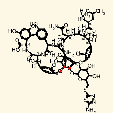 CN[C@@H](CC(C)C)C(=O)N[C@H]1C(=O)N[C@@H](CC(N)=O)C(=O)NC2C(=O)NC3C(=O)N[C@H](C(=O)N[C@@H](C(=O)O)c4cc(O)cc(O)c4-c4cc3ccc4O)[C@H](O)c3ccc(c(Cl)c3)Oc3cc2cc(c3OC2OC(CSc3nnc(N)s3)C(O)C(O)C2OC2CC(C)(N)C(O)C(C)O2)Oc2ccc(cc2Cl)[C@H]1O